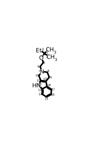 CCC(C)(C)OCCN1CCc2c([nH]c3ccccc23)C1